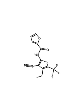 CCc1c(C(F)(F)F)sc(NC(=O)c2ccco2)c1C#N